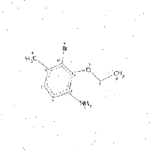 CCOc1c(N)ccc(C)c1Br